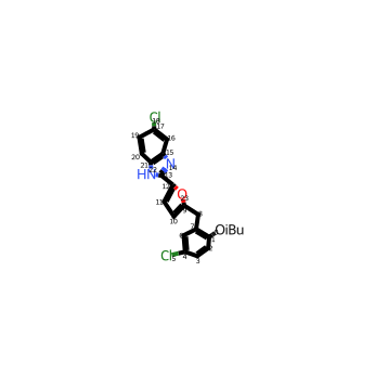 CC(C)COc1ccc(Cl)cc1Cc1ccc(-c2nc3cc(Cl)ccc3[nH]2)o1